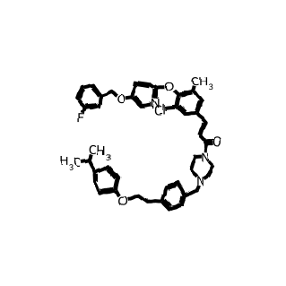 Cc1cc(C=CC(=O)N2CCN(Cc3ccc(CCOc4ccc(C(C)C)cc4)cc3)CC2)cc(Cl)c1Oc1ccc(OCc2cccc(F)c2)cn1